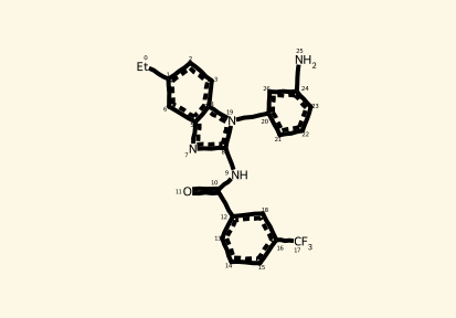 CCc1ccc2c(c1)nc(NC(=O)c1cccc(C(F)(F)F)c1)n2-c1cccc(N)c1